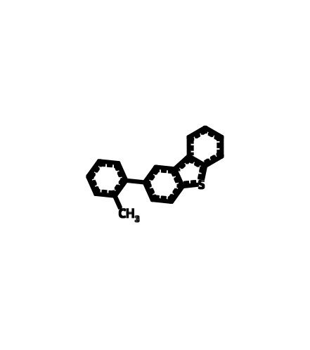 Cc1ccccc1-c1ccc2sc3ccccc3c2c1